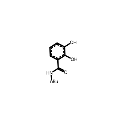 CCCCNC(=O)c1cccc(O)c1O